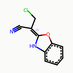 N#C/C(CCl)=C1\Nc2ccccc2O1